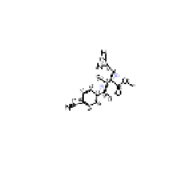 COC(=O)C(=C/C1=NN1)/C(F)=C(\C)c1ccc(C#N)cc1